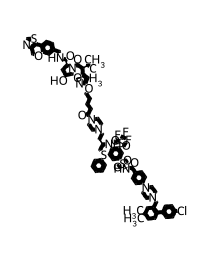 CC(C)[C@H](C(=O)N1C[C@H](O)C[C@H]1C(=O)NCc1ccc2c(c1)OCc1ncsc1-2)c1cc(OCCCCC(=O)N2CCN(CC[C@H](CSc3ccccc3)Nc3ccc(S(=O)(=O)NC(=O)c4ccc(N5CCN(CC6=C(c7ccc(Cl)cc7)CCC(C)(C)C6)CC5)cc4)cc3S(=O)(=O)C(F)(F)F)CC2)no1